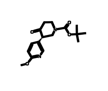 COc1ccc([C@H]2CN(C(=O)OC(C)(C)C)CCC2=O)cn1